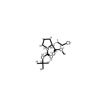 COC(=O)[C@]1(CCCl)CCCN1C(=O)OC(C)(C)C